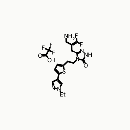 CCn1cc(-c2ccc(CCn3c(CC(CN)=C(F)F)n[nH]c3=O)s2)cn1.O=C(O)C(F)(F)F